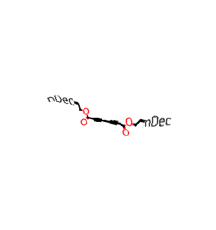 CCCCCCCCCCCCOC(=O)C#CC#CC(=O)OCCCCCCCCCCCC